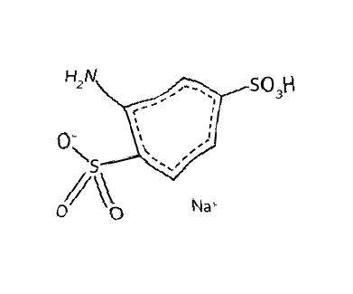 Nc1cc(S(=O)(=O)O)ccc1S(=O)(=O)[O-].[Na+]